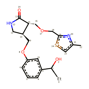 CCC(O)c1cccc(OC[C@H]2CNC(=O)[C@@H]2COCc2nc(C)cs2)c1